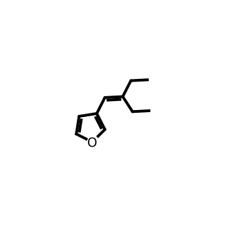 CCC(=Cc1ccoc1)CC